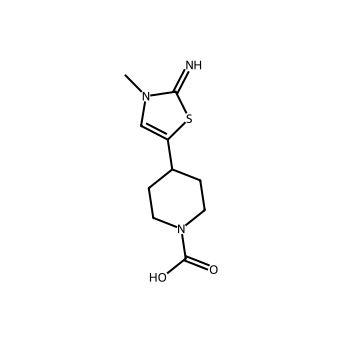 Cn1cc(C2CCN(C(=O)O)CC2)sc1=N